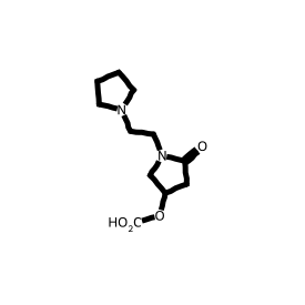 O=C(O)OC1CC(=O)N(CCN2CCCC2)C1